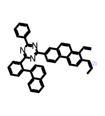 C=Cc1c(/C=C\C)ccc2c1ccc1cc(-c3nc(-c4ccccc4)nc(-c4ccccc4-c4cccc5ccccc45)n3)ccc12